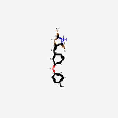 Cc1ccc(Oc2cccc(C=C3SC(=S)NC3=S)c2)cc1